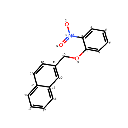 O=[N+]([O-])c1ccccc1OCc1ccc2ccccc2c1